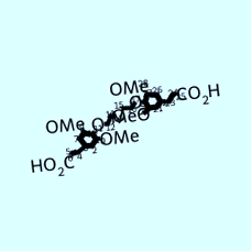 COc1cc(/C=C/C(=O)O)cc(OC)c1OCCOCCOc1c(OC)cc(/C=C/C(=O)O)cc1OC